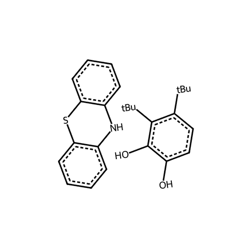 CC(C)(C)c1ccc(O)c(O)c1C(C)(C)C.c1ccc2c(c1)Nc1ccccc1S2